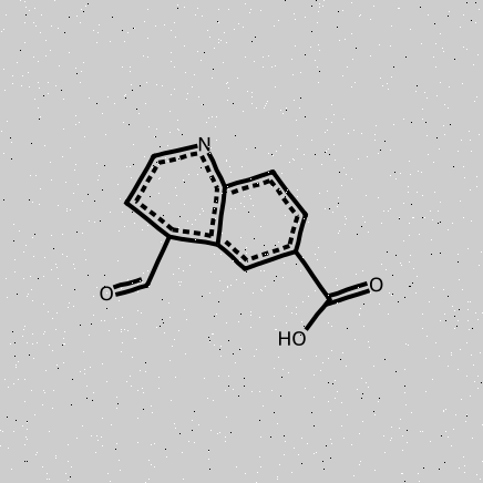 O=Cc1ccnc2ccc(C(=O)O)cc12